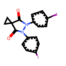 O=C1N(c2ccc(I)cc2)N(c2ccc(I)cc2)C(=O)C12CC2